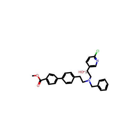 COC(=O)c1ccc(-c2ccc(CCN(Cc3ccccc3)C[C@H](O)c3ccc(Cl)nc3)cc2)cc1